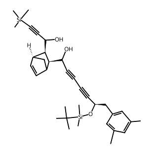 Cc1cc(C)cc(C[C@H](C#CC#CC(O)[C@H]2C3C=C[C@H](C3)[C@H]2C(O)C#C[Si](C)(C)C)O[Si](C)(C)C(C)(C)C)c1